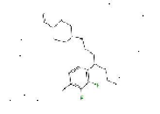 C=CC1CCC(CCCC(CCC)c2ccc(C)c(F)c2F)CC1